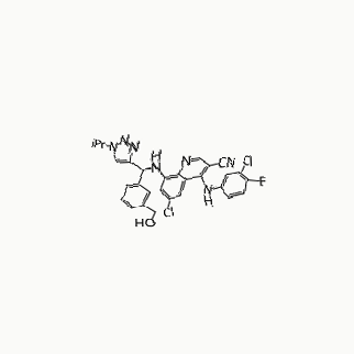 CC(C)n1cc([C@@H](Nc2cc(Cl)cc3c(Nc4ccc(F)c(Cl)c4)c(C#N)cnc23)c2cccc(CO)c2)nn1